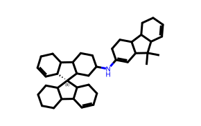 CC1(C)C2C=CCCC2C2CCC(NC3CCC4C5CCC=CC5[C@@]5(C6CCC=CC6C6CCCCC65)C4C3)=CC21